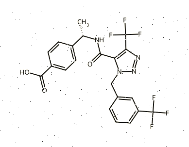 C[C@H](NC(=O)c1c(C(F)(F)F)nnn1Cc1cccc(C(F)(F)F)c1)c1ccc(C(=O)O)cc1